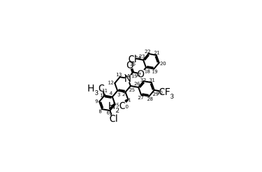 C=CC1=C(c2cc(Cl)ccc2C)CCN(C(=O)Oc2ccccc2Cl)C1c1ccc(C(F)(F)F)cc1